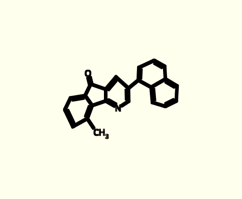 Cc1cccc2c1-c1ncc(-c3cccc4ccccc34)cc1C2=O